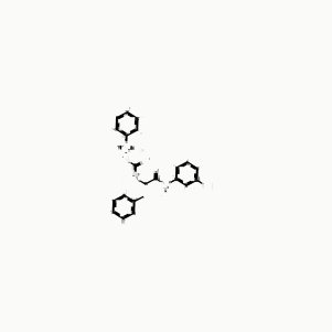 Cc1cccc(N(C)C(=O)[C@H](Cc2ccccc2)NC(=O)NS(=O)(=O)c2ccccc2)c1